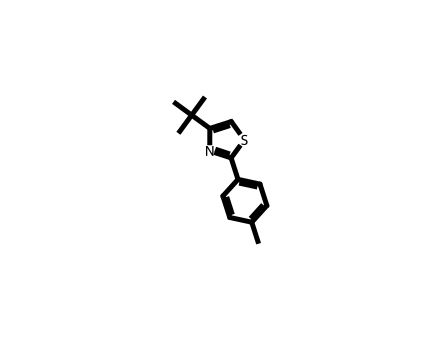 Cc1ccc(-c2nc(C(C)(C)C)cs2)cc1